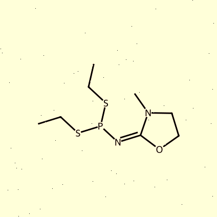 CCSP(N=C1OCCN1C)SCC